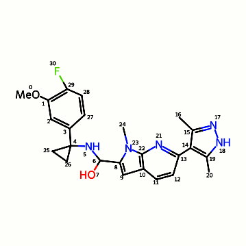 COc1cc(C2(NC(O)c3cc4ccc(-c5c(C)n[nH]c5C)nc4n3C)CC2)ccc1F